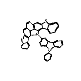 c1ccc(-n2c3ccccc3c3cc(-n4c5c6c(cc7ccc8cc9sc%10ccccc%10c9c4c8c75)sc4ccccc46)ccc32)cc1